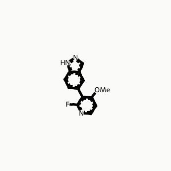 COc1ccnc(F)c1-c1ccc2[nH]ncc2c1